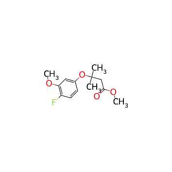 COC(=O)CC(C)(C)Oc1ccc(F)c(OC)c1